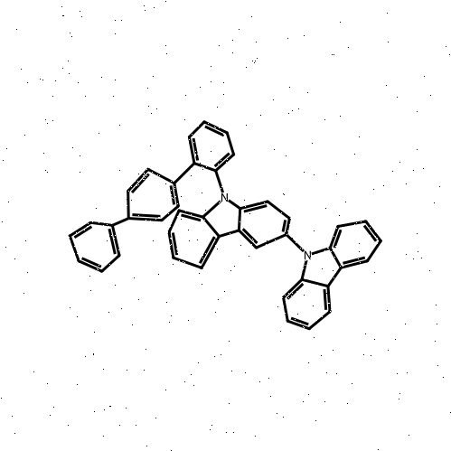 c1ccc(-c2ccc(-c3ccccc3-n3c4ccccc4c4cc(-n5c6ccccc6c6ccccc65)ccc43)cc2)cc1